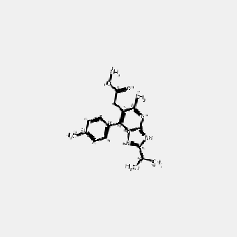 COC(=O)Cc1c(C)nc2nc(C(C)C)nn2c1-c1ccc(C)cc1